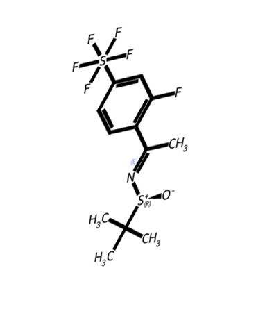 C/C(=N\[S@@+]([O-])C(C)(C)C)c1ccc(S(F)(F)(F)(F)F)cc1F